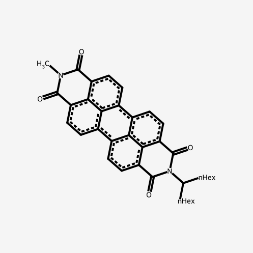 CCCCCCC(CCCCCC)N1C(=O)c2ccc3c4ccc5c6c(ccc(c7ccc(c2c37)C1=O)c64)C(=O)N(C)C5=O